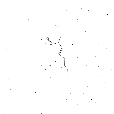 CCCC/C=C/C(C)[C]=O